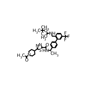 CC(=O)N1CCC(c2nnc(C(=O)N[C@H](C)c3ccc(-c4cc(C(F)(F)F)ccc4CNC(=O)OC(C)(C)C)cc3)s2)CC1